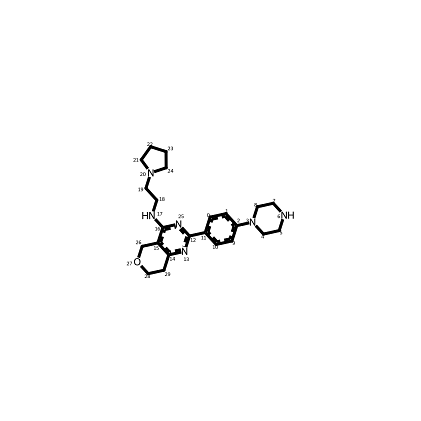 c1cc(N2CCNCC2)ccc1-c1nc2c(c(NCCN3CCCC3)n1)COCC2